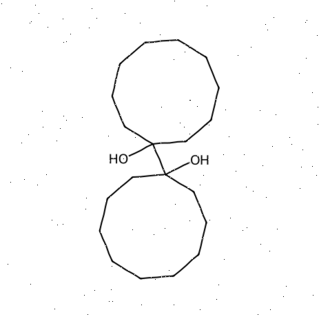 OC1(C2(O)CCCCCCCCC2)CCCCCCCCC1